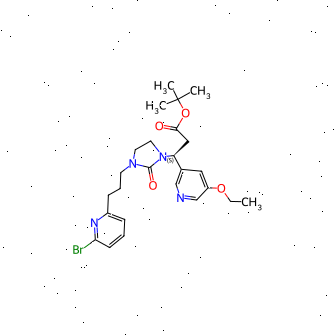 CCOc1cncc([C@H](CC(=O)OC(C)(C)C)N2CCN(CCCc3cccc(Br)n3)C2=O)c1